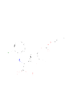 CCOC(=O)Oc1cc(C(Nc2ccccc2Cl)C(=O)O)oc1C